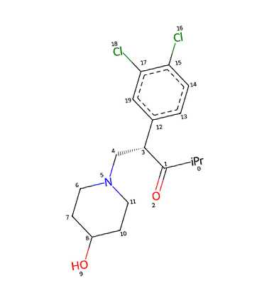 CC(C)C(=O)[C@H](CN1CCC(O)CC1)c1ccc(Cl)c(Cl)c1